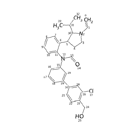 C=CN1CCC(c2ccccc2N(C=O)c2cccc(-c3ccc(CO)c(Cl)c3)c2)C1C(C)C